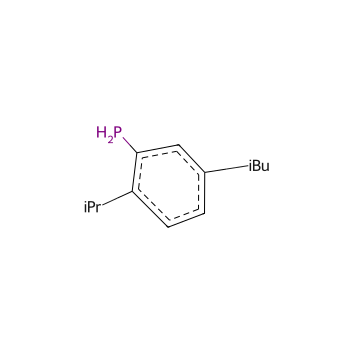 CCC(C)c1ccc(C(C)C)c(P)c1